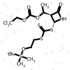 CC(OC(=O)OCC(Cl)(Cl)Cl)[C@H]1C(=O)N[C@@H]1SC(=S)SCCO[Si](C)(C)C(C)(C)C